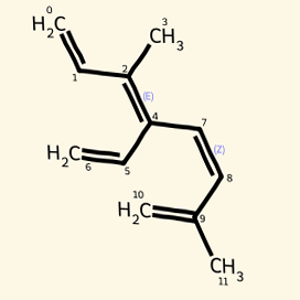 C=C/C(C)=C(C=C)/C=C\C(=C)C